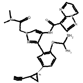 BC(P)Oc1ccc([C@@H]2CC2C#C)cc1-c1nn(CC(=O)N(C)C)cc1NC(=O)c1cnn2cccnc12